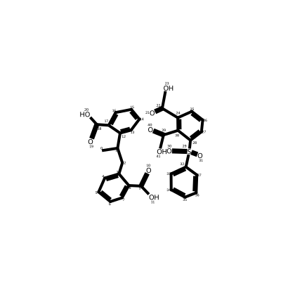 CC(Cc1ccccc1C(=O)O)c1ccccc1C(=O)O.O=C(O)c1cccc(S(=O)(=O)c2ccccc2)c1C(=O)O